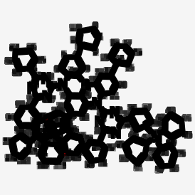 c1ccc(-c2ccc3c(c2)B2c4cc(-c5ccccc5)ccc4N(c4nc(-c5ccccc5)nc(-c5cccc([Si](c6ccccc6)(c6ccccc6)c6ccccc6)c5)n4)c4cc(-n5c6ccccc6c6ccccc65)cc(c42)N3c2nc(-c3ccccc3)nc(-c3cccc([Si](c4ccccc4)(c4ccccc4)c4ccccc4)c3)n2)cc1